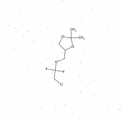 CC1(C)OCC(COC(F)(F)CCl)O1